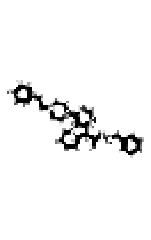 CC(=NOCc1ccccc1)c1c2n(c3c(N4CCN(CCc5ccccc5)CC4)ncnc13)CCCC2